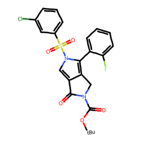 CC(C)(C)OC(=O)N1Cc2c(cn(S(=O)(=O)c3cccc(Cl)c3)c2-c2ccccc2F)C1=O